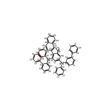 c1ccc(-c2cccc(N(c3ccccc3)c3cc(N(c4ccccc4)c4ccccc4-c4ccccc4)c4c(c3)oc3c5ccccc5ccc34)c2)cc1